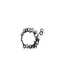 CO[C@@H]1[CH]CC[C@@H](C[C@@H](C)[C@@H]2CC(=O)[C@H](C)/C=C(\C)[C@@H](O)[C@@H](OC)C(=O)[C@H](C)C[C@H](C)/C=C/C=C/C=C(/C)[C@@H](OC)C[C@@H]3CC[C@@H](C)[C@@](O)(O3)C(=O)C(=O)N3CCCC[C@H]3C(=O)O2)C1